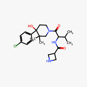 CC(C)C(NC(=O)C1CNC1)C(=O)N1CCC(O)(c2ccc(Cl)cc2)C(C)(C)C1